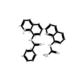 CC(=O)Sc1cccc2cccnc12.O=C(Sc1cccc2cccnc12)c1ccccc1